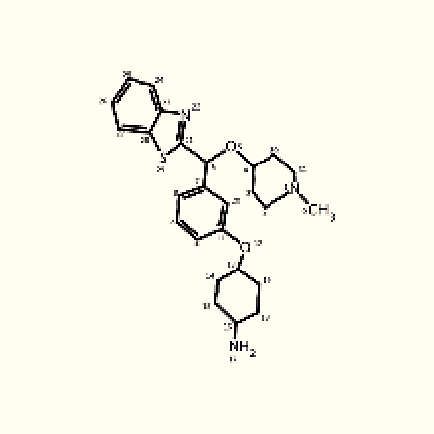 CN1CCC(OC(c2cccc(OC3CCC(N)CC3)c2)c2nc3ccccc3s2)CC1